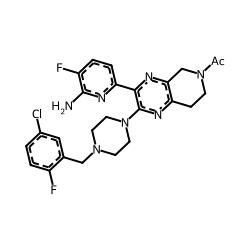 CC(=O)N1CCc2nc(N3CCN(Cc4cc(Cl)ccc4F)CC3)c(-c3ccc(F)c(N)n3)nc2C1